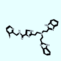 O=C(NCc1ncccc1F)c1c[nH]c(CCN(CCc2nc3ccccc3[nH]2)CCc2nc3ccccc3[nH]2)n1